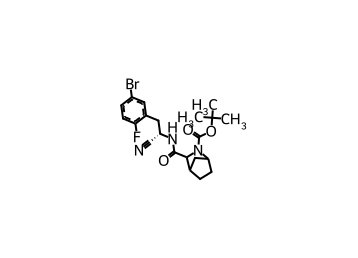 CC(C)(C)OC(=O)N1C2CCC(C2)C1C(=O)N[C@H](C#N)Cc1cc(Br)ccc1F